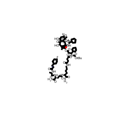 CC(=O)O[C@@]12CO[C@@H]1C[C@H](O)[C@@]1(C)C(=O)[C@H](O)C3=C(C)[C@@H](OC(=O)[C@H](OC(=O)CCC(=O)NCCCCC(NC(=O)CC[C@H](NC(=O)C(C)NC(=O)/C=C/c4ccc(F)cc4)C(N)=O)C(N)=O)[C@H](NC(=O)OC(C)(C)C)c4ccccc4)C[C@@](O)([C@@H](OC(=O)c4ccccc4)[C@H]21)C3(C)C